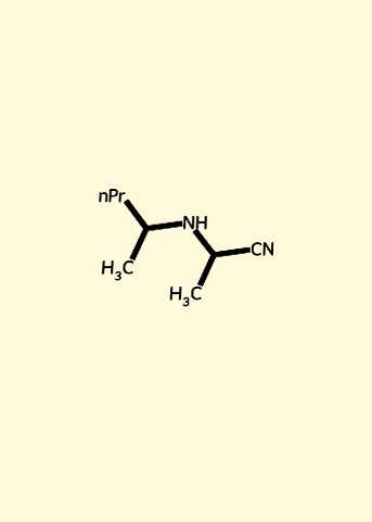 CCC[C](C)NC(C)C#N